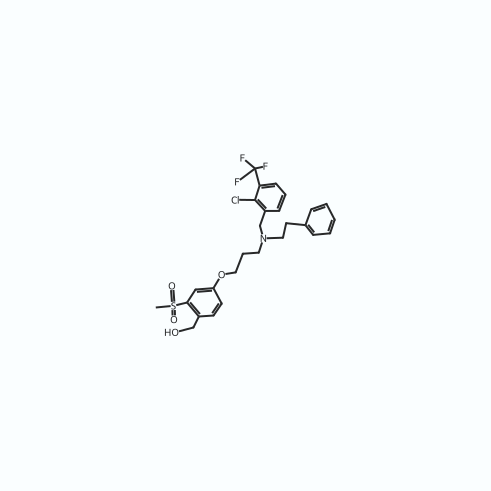 CS(=O)(=O)c1cc(OCCCN(CCc2ccccc2)Cc2cccc(C(F)(F)F)c2Cl)ccc1CO